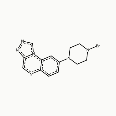 BrN1CCN(c2ccc3ncc4nncn4c3c2)CC1